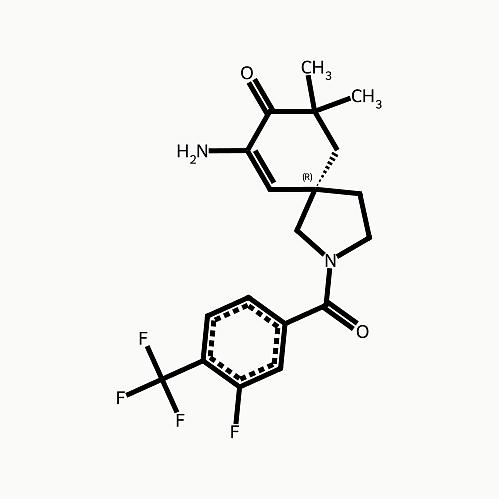 CC1(C)C[C@]2(C=C(N)C1=O)CCN(C(=O)c1ccc(C(F)(F)F)c(F)c1)C2